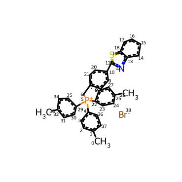 Cc1ccc([P+](Cc2ccc(-c3nc4ccccc4s3)cc2)(c2ccc(C)cc2)c2ccc(C)cc2)cc1.[Br-]